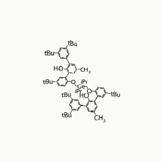 Cc1cc(-c2cc(C(C)(C)C)cc(C(C)(C)C)c2)c(O)c(-c2cc(C(C)(C)C)ccc2O[CH2][Ge]([CH2]Oc2ccc(C(C)(C)C)cc2-c2cc(C)cc(-c3cc(C(C)(C)C)cc(C(C)(C)C)c3)c2O)([CH](C)C)[CH](C)C)c1